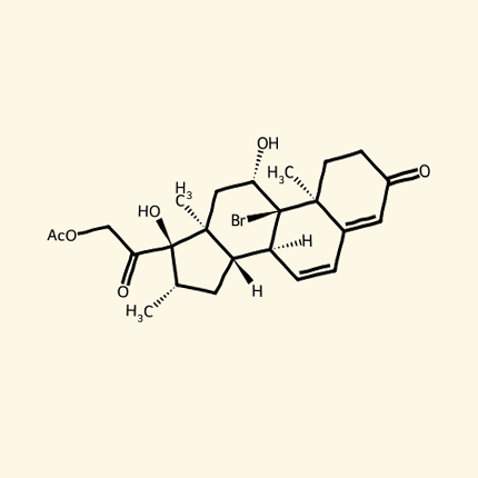 CC(=O)OCC(=O)[C@@]1(O)[C@@H](C)C[C@H]2[C@@H]3C=CC4=CC(=O)CC[C@]4(C)[C@@]3(Br)[C@@H](O)C[C@@]21C